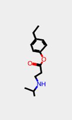 CCc1ccc(OC(=O)CCNC(C)C)cc1